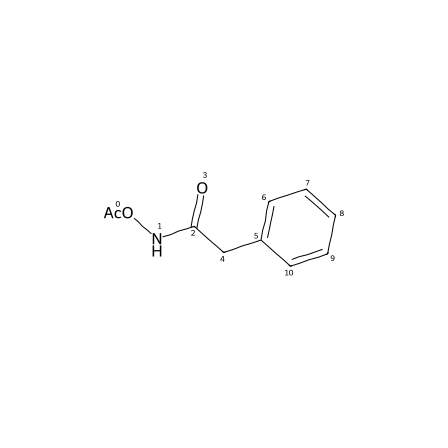 CC(=O)ONC(=O)Cc1ccccc1